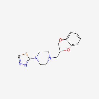 c1ccc2c(c1)OCC(CN1CCN(c3nncs3)CC1)O2